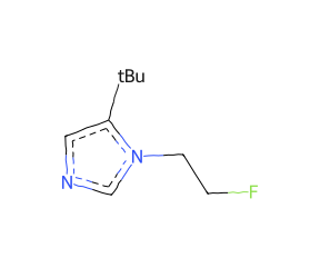 CC(C)(C)c1cncn1CCF